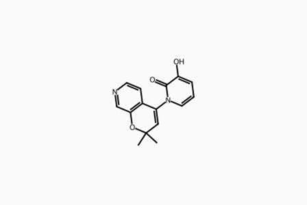 CC1(C)C=C(n2cccc(O)c2=O)c2ccncc2O1